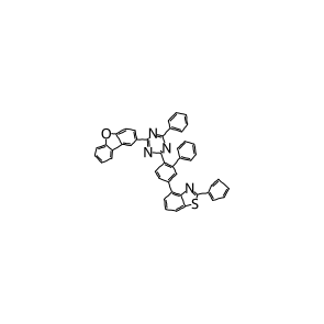 c1ccc(-c2nc(-c3ccc4oc5ccccc5c4c3)nc(-c3ccc(-c4cccc5sc(-c6ccccc6)nc45)cc3-c3ccccc3)n2)cc1